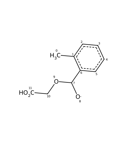 Cc1ccccc1C([O])OCC(=O)O